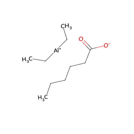 CCCCCC(=O)[O-].C[CH2][Al+][CH2]C